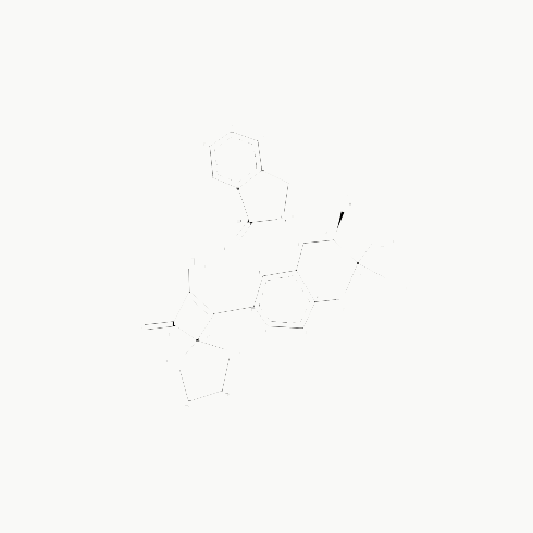 CC1=C(c2ccc3c(c2)[C@H](N2Cc4ccccc4C2=O)[C@@H](O)C(C)(C)O3)C2(OCCO2)C1=O